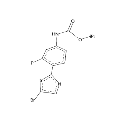 CC(C)OC(=O)Nc1ccc(-c2ncc(Br)s2)c(F)c1